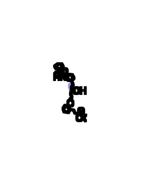 CC(C)OC(=O)CCc1ccccc1OCCC[C@@H](O)/C=C/c1cccc(NS(=O)(=O)c2ccccc2)c1